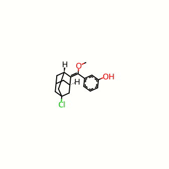 CO/C(=C1/[C@@H]2CC3C[C@H]1CC(Cl)(C3)C2)c1cccc(O)c1